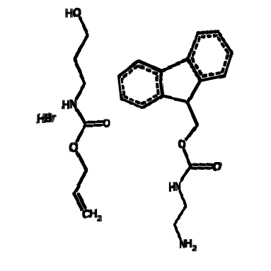 Br.C=CCOC(=O)NCCCO.NCCNC(=O)OCC1c2ccccc2-c2ccccc21